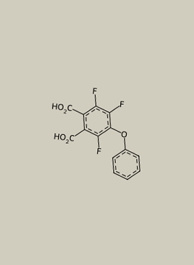 O=C(O)c1c(F)c(F)c(Oc2ccccc2)c(F)c1C(=O)O